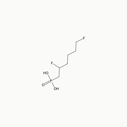 O=P(O)(O)CC(F)CCCCF